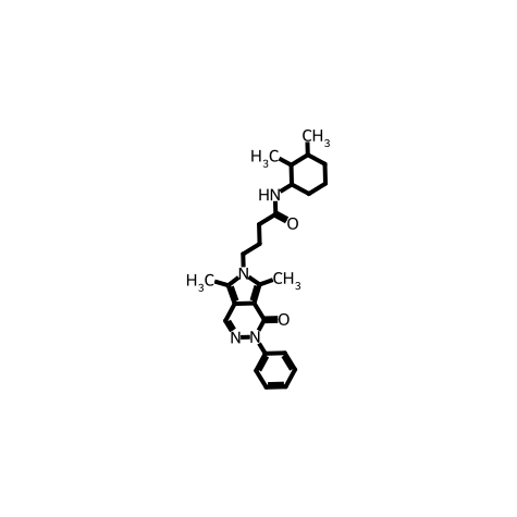 Cc1c2cnn(-c3ccccc3)c(=O)c2c(C)n1CCCC(=O)NC1CCCC(C)C1C